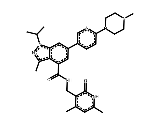 Cc1cc(C)c(CNC(=O)c2cc(-c3ccc(N4CCN(C)CC4)nc3)cc3c2c(C)nn3C(C)C)c(=O)[nH]1